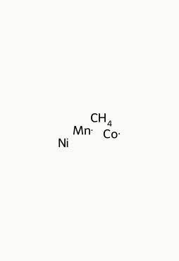 C.[Co].[Mn].[Ni]